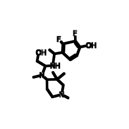 CC(NC(CO)N(C)C1CCN(C)CC1(C)C)c1ccc(O)c(F)c1F